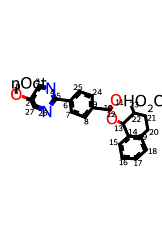 CCCCCCCCOc1cnc(-c2ccc(C(=O)OC3c4ccccc4CCC3C(=O)O)cc2)nc1